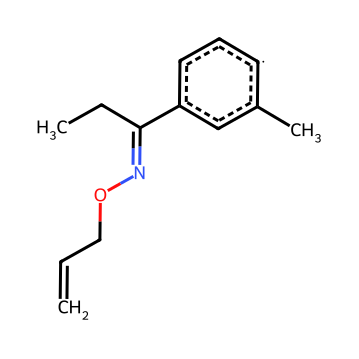 C=CCON=C(CC)c1cc[c]c(C)c1